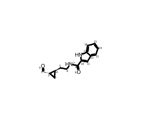 O=C[C@H]1C[C@@H]1CCNC(=O)c1cc2ccccc2[nH]1